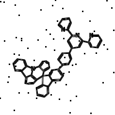 c1ccc(-c2cc(-c3ccc(-c4ccc5c(c4)C4(c6ccccc6-5)c5ccccc5-n5c6ccccc6c6cccc4c65)cc3)cc(-c3ccccn3)n2)nc1